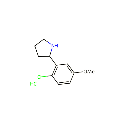 COc1ccc(Cl)c(C2CCCN2)c1.Cl